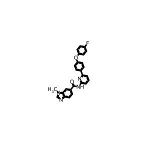 Cn1cnc2ccc(C(=O)Nc3cccc(-c4ccc(Oc5ccc(F)cc5)cc4)n3)cc21